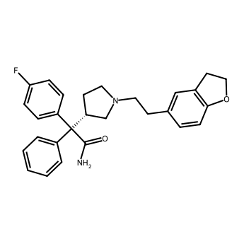 NC(=O)C(c1ccccc1)(c1ccc(F)cc1)[C@@H]1CCN(CCc2ccc3c(c2)CCO3)C1